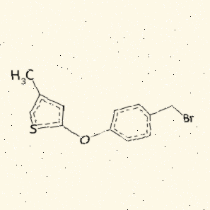 Cc1csc(Oc2ccc(CBr)cc2)c1